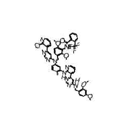 COc1ccc(CNc2cc(-c3cccnc3Nc3cc(N(Cc4ccc(OC)c(NC(=O)c5ccccc5C(F)(F)F)c4OC)c4cc(-c5cccnc5Cl)ncn4)ccc3C)ncn2)c(OC)c1